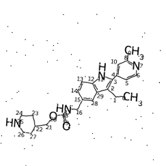 CCc1c(-c2ccnc(C)c2)[nH]c2ccc(CNC(=O)OCC3CCNCC3)cc12